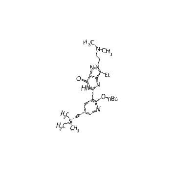 CCCCOc1ncc(C#C[Si](C)(C)C)cc1-c1nc2c(CC)n(CCN(C)C)nc2c(=O)[nH]1